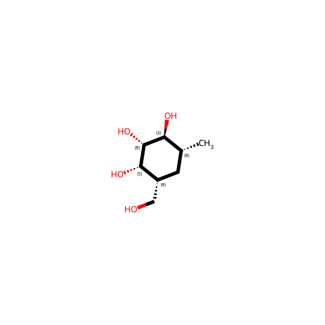 C[C@@H]1C[C@H](CO)[C@H](O)[C@H](O)[C@H]1O